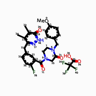 COc1ccc(CN2CCN(C(=O)c3cc(Cc4n[nH]c(=O)c(C)c4C)ccc3F)CC2=O)cc1.O=C(O)C(F)(F)F